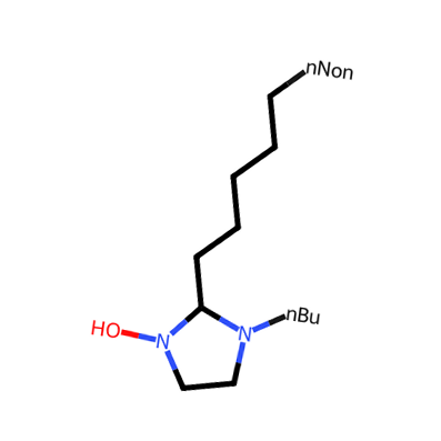 CCCCCCCCCCCCCCC1N(O)CCN1CCCC